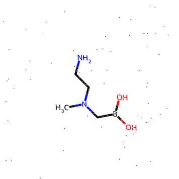 CN(CCN)CB(O)O